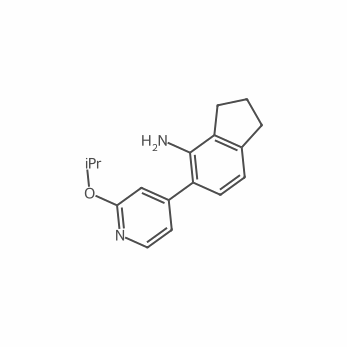 CC(C)Oc1cc(-c2ccc3c(c2N)CCC3)ccn1